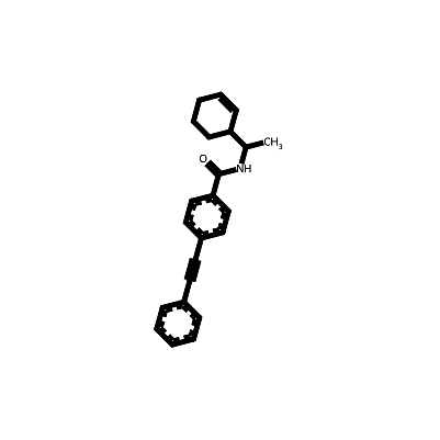 CC(NC(=O)c1ccc(C#Cc2ccccc2)cc1)C1C=CCCC1